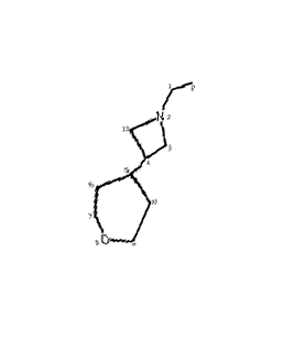 CCN1CC(C2CCOCC2)C1